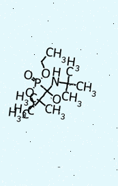 CCOP(=O)(OCC)C([O])(NC(C)(C)C)C(C)(C)C